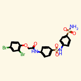 NS(=O)(=O)c1ccc(NS(=O)(=O)c2ccc(NC(=O)COc3ccc(Br)cc3Br)cc2)cc1